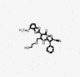 COc1cccc2oc(-c3c(COCCO)[nH]c4c(-c5ccccc5)c(C#N)nn4c3=O)nc12